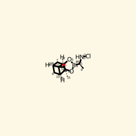 C[C@H](NCl)B1O[C@@H]2C[C@@H]3C[C@@H](C3(C)C)[C@]2(C)O1